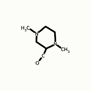 CN1CCN(C)C(C[O])C1